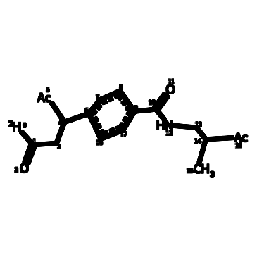 [2H]C(=O)CC(C(C)=O)c1ccc(C(=O)NCC(C)C(C)=O)cc1